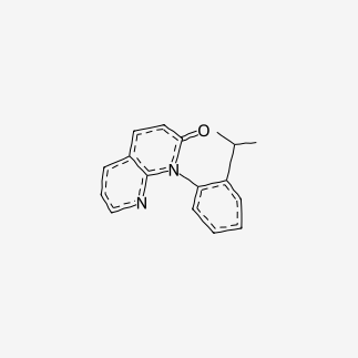 CC(C)c1ccccc1-n1c(=O)ccc2cccnc21